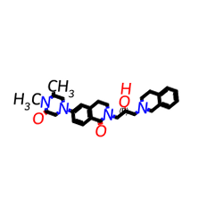 CC1CN(c2ccc3c(c2)CCN(C[C@H](O)CN2CCc4ccccc4C2)C3=O)CC(=O)N1C